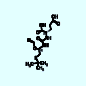 CC(C)(C)SC[C@H](NC(=O)N[C@@H](CCC(=O)O)C(=O)O)OC=O